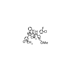 COCCN1CC(NC(=O)Nc2c(C)c(-c3ccc(=O)n(C)c3)nn2-c2ccccc2)[C@H](c2ccc(F)c(Cl)c2)C1